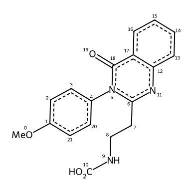 COc1ccc(-n2c(CCNC(=O)O)nc3ccccc3c2=O)cc1